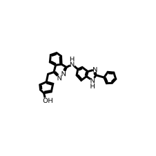 Oc1ccc(Cc2nnc(Nc3ccc4[nH]c(-c5ccccc5)nc4c3)c3ccccc23)cc1